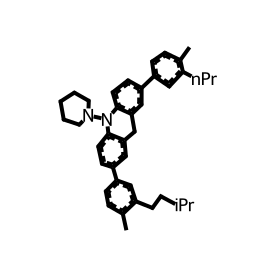 CCCc1cc(-c2ccc3c(c2)Cc2cc(-c4ccc(C)c(CCC(C)C)c4)ccc2N3N2CCCCC2)ccc1C